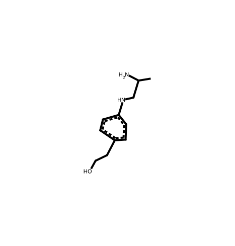 CC(N)CNc1ccc(CCO)cc1